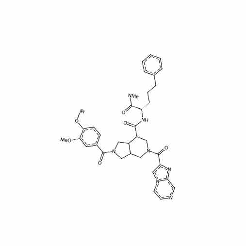 CNC(=O)[C@H](CCCc1ccccc1)NC(=O)C1CN(C(=O)c2cn3ccncc3n2)CC2CN(C(=O)c3ccc(OC(C)C)c(OC)c3)CC21